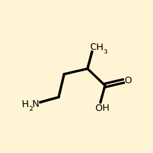 CC(CCN)C(=O)O